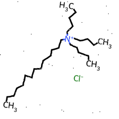 CCCCCCCCCCCCCC[N+](CCCCC)(CCCCC)CCCCC.[Cl-]